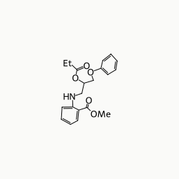 CCC(=O)OC(CNc1ccccc1C(=O)OC)COc1ccccc1